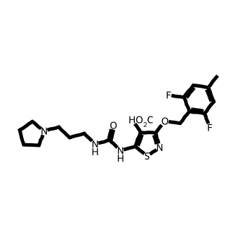 Cc1cc(F)c(COc2nsc(NC(=O)NCCCN3CCCC3)c2C(=O)O)c(F)c1